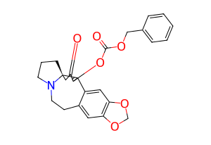 O=C(OCc1ccccc1)OC1=C2c3cc4c(cc3CCN3CCC[C@]23CC1=O)OCO4